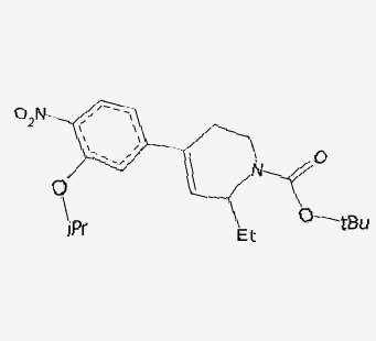 CCC1C=C(c2ccc([N+](=O)[O-])c(OC(C)C)c2)CCN1C(=O)OC(C)(C)C